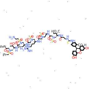 CNC(=O)CN(C[C@@H](NC(=O)CN(C[C@H](CC(C)C)NC(=O)CN(C[C@H](CCCNC(=N)N)NC(=O)CN(C[C@H](C)NC(=O)CN(C[C@H](CCC(=O)O)NC(=O)CCNC(=S)Nc1ccc(C2c3ccc(O)cc3Oc3cc(O)ccc32)c(C(=O)O)c1)S(C)(=O)=O)S(C)(=O)=O)S(C)(=O)=O)S(=O)(=O)CCN)C(C)O)S(=O)(=O)CC(C)C